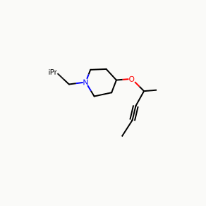 CC#CC(C)OC1CCN(CC(C)C)CC1